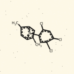 Cc1cc2c(C)cc1n2-c1cc(Cl)c(Cl)cc1Cl